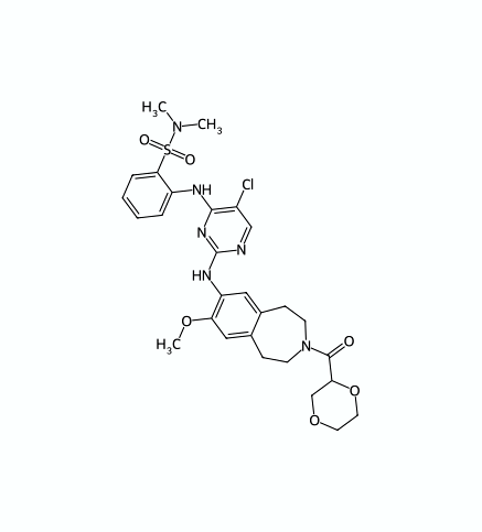 COc1cc2c(cc1Nc1ncc(Cl)c(Nc3ccccc3S(=O)(=O)N(C)C)n1)CCN(C(=O)C1COCCO1)CC2